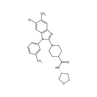 Cc1cccc(-n2c(N3CCC(C(=O)N[C@@H]4CCOC4)CC3)nc3cc(C)c(Cl)cc32)c1